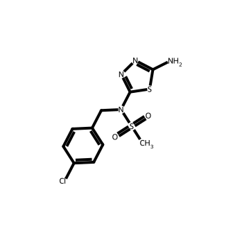 CS(=O)(=O)N(Cc1ccc(Cl)cc1)c1nnc(N)s1